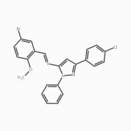 COc1ccc(Br)cc1/C=N/c1cc(-c2ccc(Cl)cc2)nn1-c1ccccc1